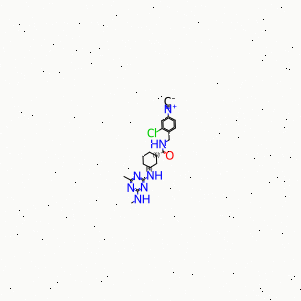 [C-]#[N+]c1ccc(CNC(=O)[C@H]2CCC[C@@H](Nc3nc(C)nc(NC)n3)C2)c(Cl)c1